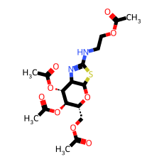 CC(=O)OCCNC1=NC2C(O[C@H](COC(C)=O)[C@@H](OC(C)=O)[C@@H]2OC(C)=O)S1